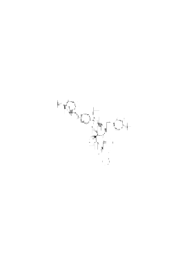 O=C(NC1CCOCC1)c1cn(Cc2ccc(F)cc2)c(Nc2ccc(Oc3cccc(F)n3)cc2)nc1=O